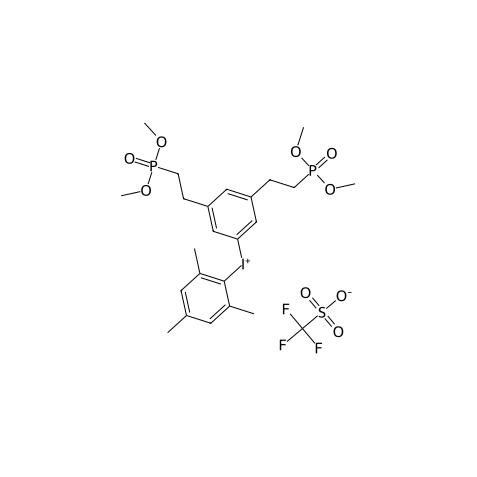 COP(=O)(CCc1cc(CCP(=O)(OC)OC)cc([I+]c2c(C)cc(C)cc2C)c1)OC.O=S(=O)([O-])C(F)(F)F